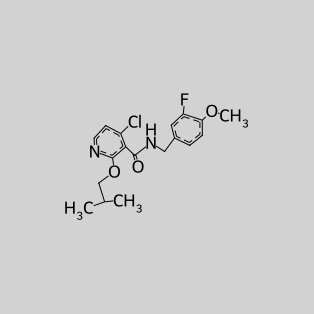 COc1ccc(CNC(=O)c2c(Cl)ccnc2OCC(C)C)cc1F